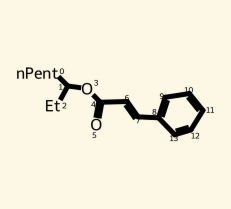 CCCCCC(CC)OC(=O)/C=C/c1ccccc1